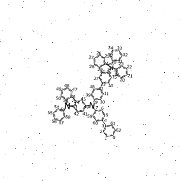 c1ccc(-c2ccc(N(c3ccc(-c4ccc([Si](c5ccccc5)(c5ccccc5)c5ccccc5)cc4)cc3)c3ccc4c(c3)c3ccccc3n4-c3ccccc3)cc2)cc1